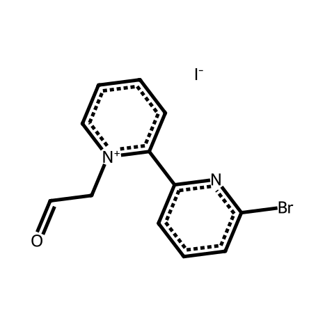 O=CC[n+]1ccccc1-c1cccc(Br)n1.[I-]